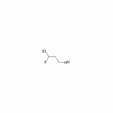 [CH2]CCCCC(F)CC